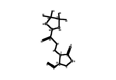 C=C[C@@H]1COC(=O)N1CCC(=C)B1OC(C)(C)C(C)(C)O1